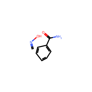 C=NO.NC(=O)c1ccccc1